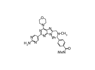 CNC(=O)c1ccc(CN(C)Cc2nc3c(N4CCOCC4)nc(-c4cnc(N)nc4)nc3n2C(C)C)cc1